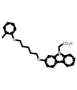 Cc1ccccc1OCCCCCOc1ccc2c3ccccc3n(CC(=O)O)c2c1